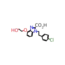 O=C(O)c1nc2c(OCCO)cccc2n1CCc1ccc(Cl)cc1